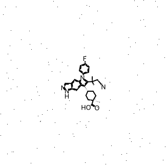 CC(C)(CC#N)c1c([C@H]2CC[C@](C)(C(=O)O)CC2)c2cc3[nH]ncc3cc2n1-c1ccc(F)cc1